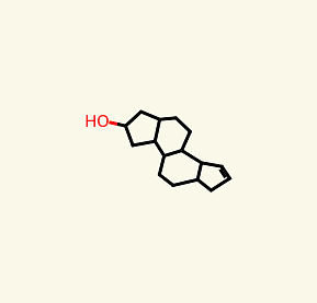 OC1CC2CCC3C4C=CCC4CCC3C2C1